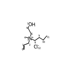 C=CC[N+](C)(CCO)CCCC.[Cl-]